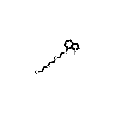 ClCCOCCOCCOc1cccc2cc[nH]c12